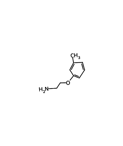 Cc1cccc(OCCN)c1